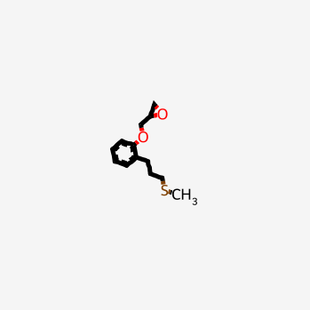 CSCCCc1ccccc1OCC1CO1